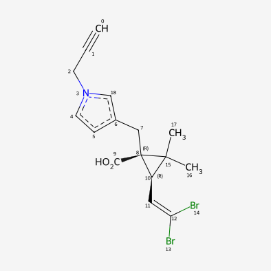 C#CCn1ccc(C[C@@]2(C(=O)O)[C@H](C=C(Br)Br)C2(C)C)c1